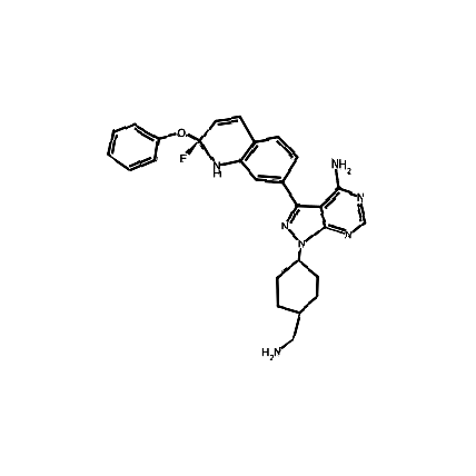 NCC1CCC(n2nc(-c3ccc4c(c3)N[C@](F)(Oc3ccccc3)C=C4)c3c(N)ncnc32)CC1